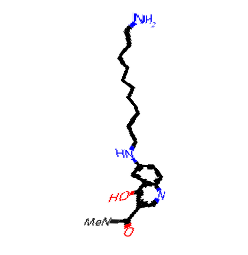 CNC(=O)c1cnc2ccc(NCCCCCCCCCCN)cc2c1O